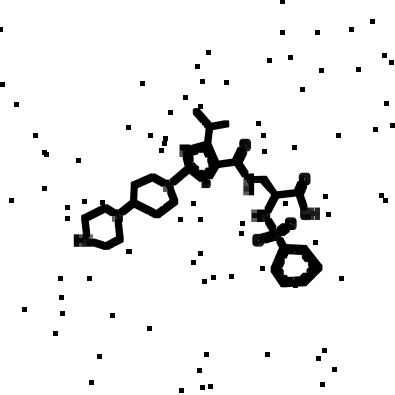 CC(C)c1nc(N2CCC(N3CCNCC3)CC2)sc1C(=O)NC[C@H](NS(=O)(=O)c1ccccc1)C(=O)O